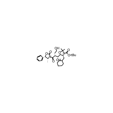 C[C@@H]1[C@H](c2ccccc2)OC(=O)N1C(=O)[C@H](CCO)[C@@H](O)[C@@H]1OC(C)(C)N(C(=O)OC(C)(C)C)[C@H]1CC1CCCCC1